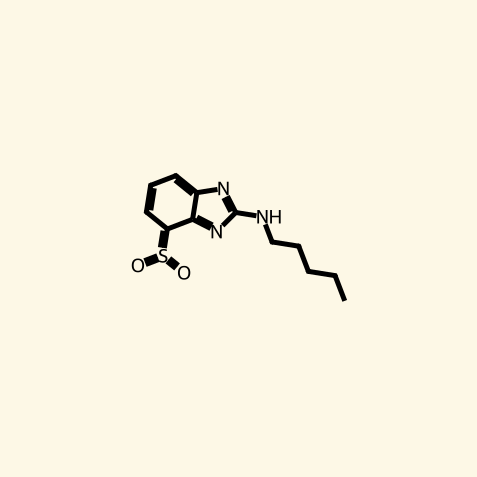 CCCCCNC1=NC2=CC=CC(=S(=O)=O)C2=N1